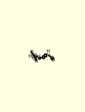 COCCNS(=O)(=O)/C(C#N)=C(\C)c1ccc(-c2ccc3cc(NCCN4CCOCC4)ccc3c2)s1